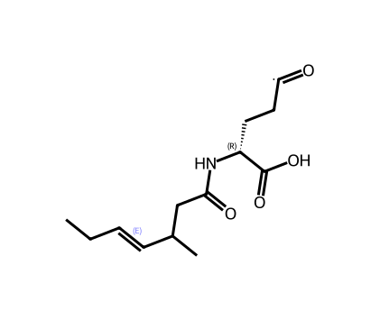 CC/C=C/C(C)CC(=O)N[C@H](CC[C]=O)C(=O)O